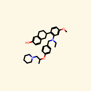 CCN(Cc1ccc(OC(C)CN2CCCCC2)cc1)c1cc(OC)ccc1C1CCc2cc(O)ccc2C1